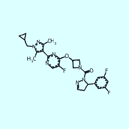 Cc1nn(CC2CC2)c(C)c1-c1ncc(F)c(OC2CN(C(=O)N3N=CCC3c3cc(F)cc(F)c3)C2)n1